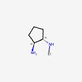 CCN[C@H]1CCC[C@@H]1N